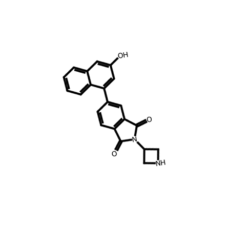 O=C1c2ccc(-c3cc(O)cc4ccccc34)cc2C(=O)N1C1CNC1